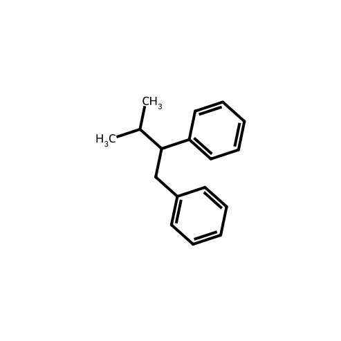 CC(C)[C](Cc1ccccc1)c1ccccc1